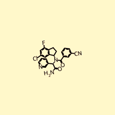 N#Cc1cccc(C(=O)N([C@@H]2CCc3c(F)cc(Cl)cc32)[C@@H](C(N)=O)c2cccnc2)c1